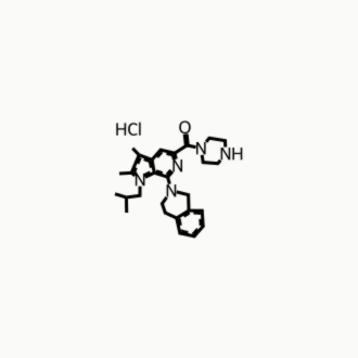 Cc1c(C)n(CC(C)C)c2c(N3CCc4ccccc4C3)nc(C(=O)N3CCNCC3)cc12.Cl